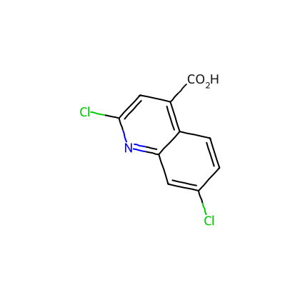 O=C(O)c1cc(Cl)nc2cc(Cl)ccc12